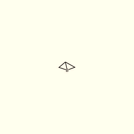 C1B2CC12